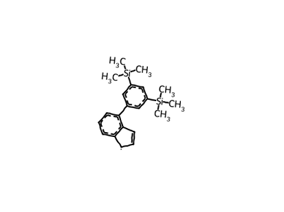 C[Si](C)(C)c1cc(-c2cccc3c2C=C[CH]3)cc([Si](C)(C)C)c1